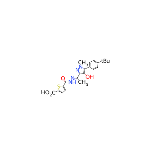 C/C(=N\NC(=O)c1ccc(C(=O)O)s1)c1nn(C)c(-c2ccc(C(C)(C)C)cc2)c1O